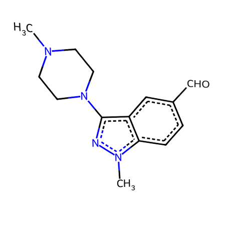 CN1CCN(c2nn(C)c3ccc(C=O)cc23)CC1